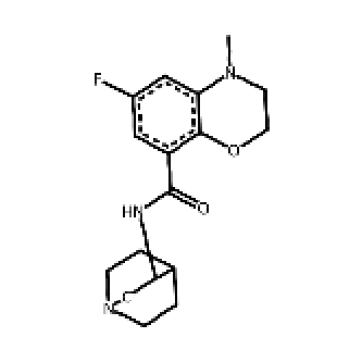 CN1CCOc2c(C(=O)NC3CN4CCC3CC4)cc(F)cc21